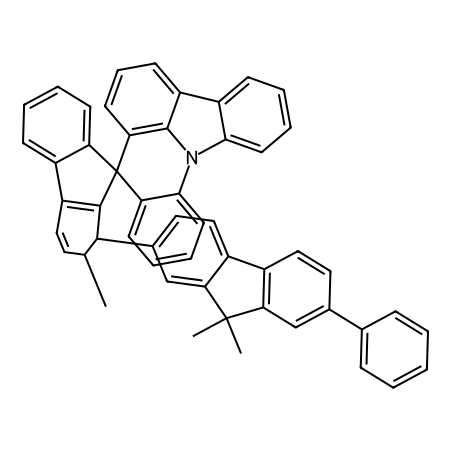 CC1C=CC2=C(C1c1ccc3c(c1)C(C)(C)c1cc(-c4ccccc4)ccc1-3)C1(c3ccccc32)c2ccccc2-n2c3ccccc3c3cccc1c32